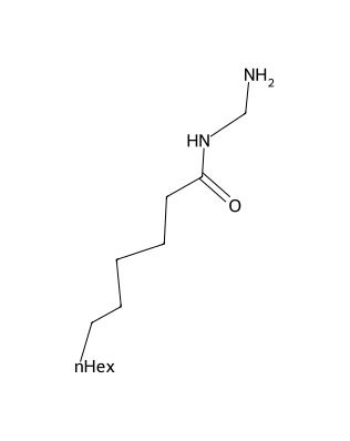 CCCCCCCCCCCC(=O)NCN